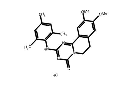 COc1cc2c(cc1OC)-c1nc(Nc3c(C)cc(C)cc3C)nc(=O)n1CC2.Cl